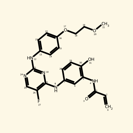 C=CC(=O)Nc1cc(Nc2nc(Nc3ccc(OCCOC)cc3)ncc2F)ccc1O